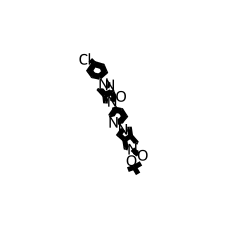 CC(C)(C)OC(=O)N1CC2CN(c3ccc(N4Cc5cn(-c6ccc(Cl)cc6)nc5C4=O)cn3)CC2C1